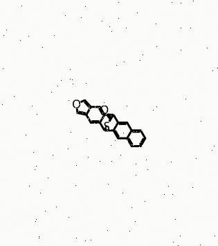 O=C1SC2c3cc4ccccc4cc3C1c1cc3cocc3cc12